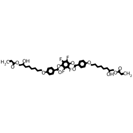 C=CC(=O)OCC(O)CCCCCCOc1ccc(C(=O)Oc2c(F)c(F)c(OC(=O)c3ccc(OCCCCCCC(O)COC(=O)C=C)cc3)c(F)c2F)cc1